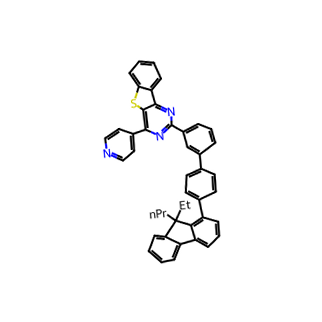 CCCC1(CC)c2ccccc2-c2cccc(-c3ccc(-c4cccc(-c5nc(-c6ccncc6)c6sc7ccccc7c6n5)c4)cc3)c21